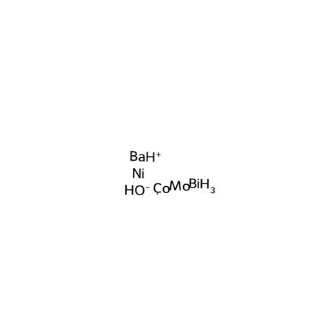 [BaH+].[BiH3].[Co].[Mo].[Ni].[OH-]